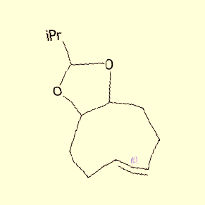 CC(C)C1OC2CC/C=C/CCC2O1